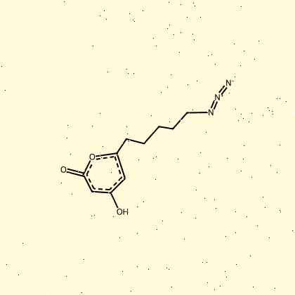 [N-]=[N+]=NCCCCCc1cc(O)cc(=O)o1